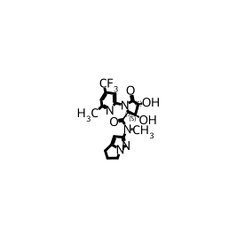 Cc1cc(C(F)(F)F)cc(N2C(=O)[C@@H](O)[C@@H](O)[C@H]2C(=O)N(C)c2cc3n(n2)CCC3)n1